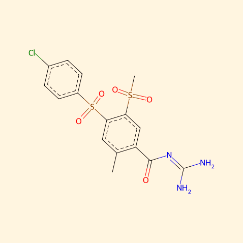 Cc1cc(S(=O)(=O)c2ccc(Cl)cc2)c(S(C)(=O)=O)cc1C(=O)N=C(N)N